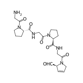 NCC(=O)N1CCC[C@H]1C(=O)NCC(=O)N1CCC[C@H]1C(=O)NCC(=O)N1CC=C[C@H]1C=O